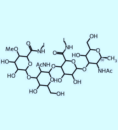 COC1C(C(=O)NI)OC(OC2C(O)C(CO)OC(OC3C(C(=O)NI)OC(OC4C(O)C(CO)O[C@@H](C)C4NC(C)=O)C(O)C3O)C2NC(C)=O)C(O)C1O